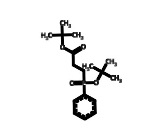 CC(C)(C)OC(=O)CCP(=O)(OC(C)(C)C)c1ccccc1